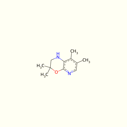 Cc1cnc2c(c1C)NCC(C)(C)O2